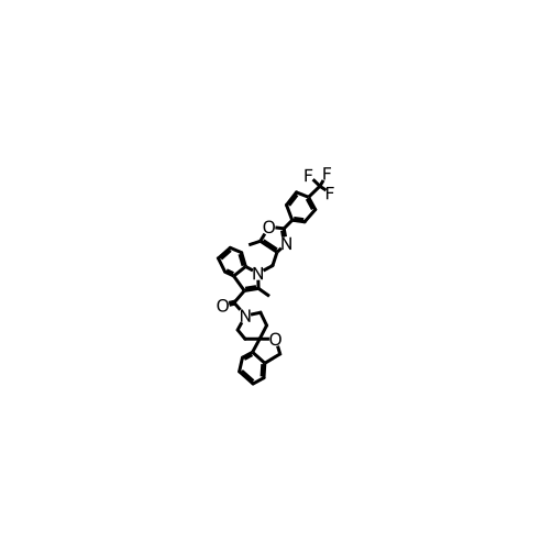 Cc1oc(-c2ccc(C(F)(F)F)cc2)nc1Cn1c(C)c(C(=O)N2CCC3(CC2)OCc2ccccc23)c2ccccc21